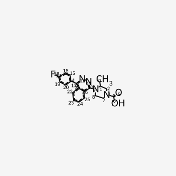 CC1CN(C(=O)O)CCN1c1nnc(-c2ccc(F)cc2)c2ccccc12